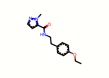 CCOc1ccc(CCNC(=O)c2ccnn2C)cc1